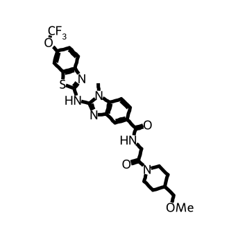 COCC1CCN(C(=O)CNC(=O)c2ccc3c(c2)nc(Nc2nc4ccc(OC(F)(F)F)cc4s2)n3C)CC1